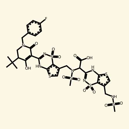 CC(C)(C)C1CN(Cc2ccc(F)cc2)C(=O)C(C2=NS(=O)(=O)c3c(CN(C(C(=O)O)C4=NS(=O)(=O)c5c(CNS(C)(=O)=O)csc5N4)S(C)(=O)=O)csc3N2)=C1O